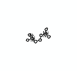 C[Si]1(C)c2ccccc2-c2c(-c3ccccc3)nc(-c3cccc(-c4cccc(-c5cccc(-c6nc(-c7ccccc7)nc(-c7ccccc7)n6)c5)c4)c3)nc21